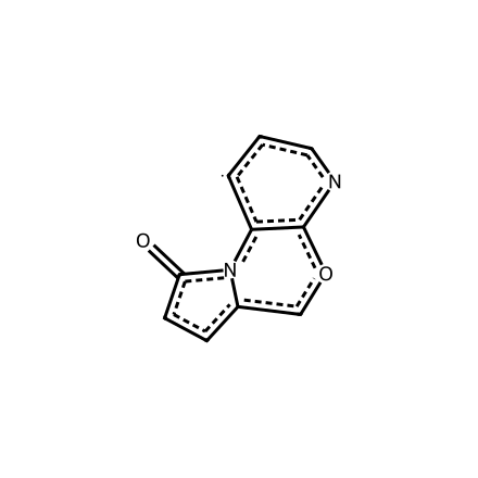 O=c1ccc2coc3ncc[c]c3n1-2